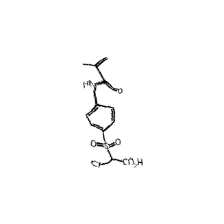 C=C(C)C(=O)Nc1ccc(S(=O)(=O)C(Cl)C(=O)O)cc1